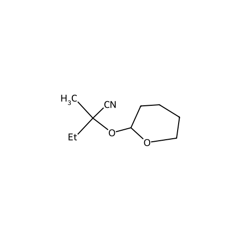 CCC(C)(C#N)OC1CCCCO1